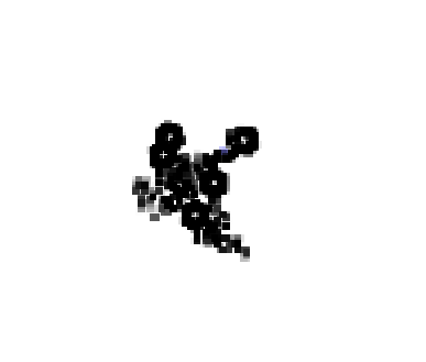 CNC(=O)c1ccccc1Sc1ccc2c(/C=C/c3ccccn3)nn([P@@](=O)(N[C@@H](C)C(=O)OC)Oc3cccc4ccccc34)c2c1